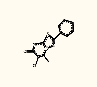 Cc1c(Cl)c(=O)nc2sc(-c3ccccc3)nn12